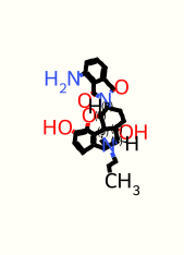 CCCN1CC[C@]23c4c5ccc(O)c4O[C@H]2[C@H](N2C(=O)c4cccc(N)c4C2=O)CC[C@@]3(O)[C@H]1C5